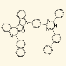 c1ccc(-c2cccc(-c3nc(-c4ccccc4)nc(-c4ccc(-n5c6ccccc6c6c7c(oc65)c(-c5ccc6ccccc6c5)nc5ccccc57)cc4)n3)c2)cc1